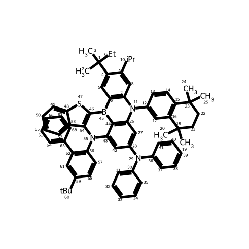 CCC(C)(C)c1cc2c(cc1C(C)C)N(c1ccc3c(c1)C(C)(C)CCC3(C)C)c1cc(N(c3ccccc3)c3ccccc3)cc3c1B2c1sc2ccccc2c1N3c1ccc(C(C)(C)C)cc1-c1ccccc1